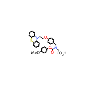 COc1ccc(OC(=O)N(CC(=O)O)Cc2ccc(OCCN3c4ccccc4Sc4ccccc43)cc2)cc1